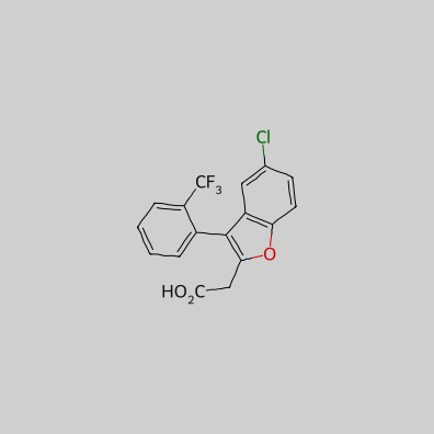 O=C(O)Cc1oc2ccc(Cl)cc2c1-c1ccccc1C(F)(F)F